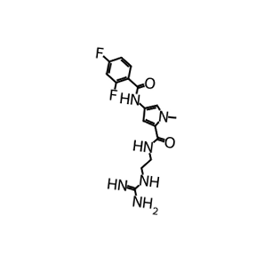 Cn1cc(NC(=O)c2ccc(F)cc2F)cc1C(=O)NCCNC(=N)N